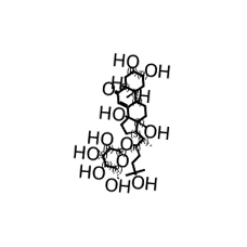 CC(C)(O)CC[C@@H](O[C@H]1O[C@H](CO)[C@H](O)[C@H](O)[C@H]1O)[C@](C)(O)[C@H]1CCC2(O)C3=CC(=O)[C@@H]4C[C@@H](O)[C@H](O)C[C@]4(C)[C@H]3CC[C@]12C